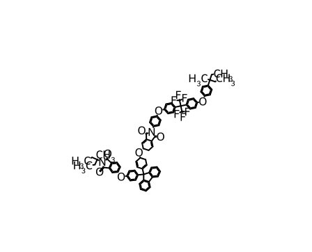 CCC(C)(CC)c1ccc(Oc2ccc(C(c3ccc(Oc4ccc(N5C(=O)C6=CCC(OC7C=CC(C8(c9ccc(Oc%10ccc%11c(c%10)C(=O)N(C(C)(CC)CC)C%11=O)cc9)c9ccccc9-c9ccccc98)=CC7)C=C6C5=O)cc4)cc3)(C(F)(F)F)C(F)(F)F)cc2)cc1